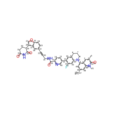 Cc1cc2c(N3CCCc4cc(-c5ccc(C(=O)NCC#Cc6ccc7occ(C8CCC(=O)NC8=O)c7c6)nc5)c(F)cc43)cc(C(C)C)cc2n(C)c1=O